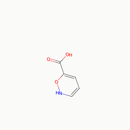 O=C(O)C1=CC=CNO1